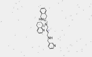 C(=C\CN(C[C@H]1Cc2ccccc2CN1)[C@H]1CCCc2cccnc21)/CNCc1cccnc1